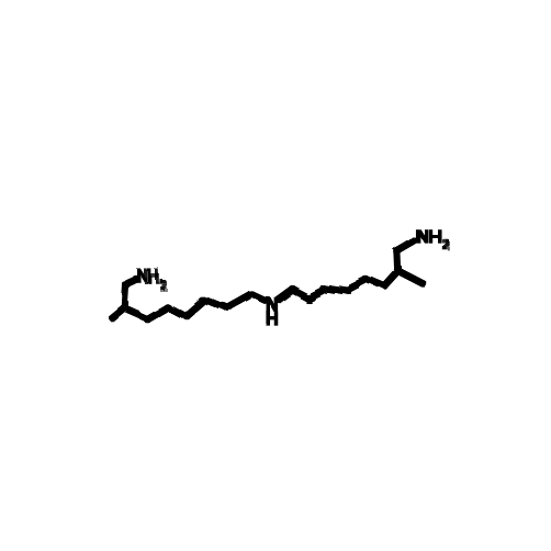 CC(CN)CCCCCCNCCCCCCC(C)CN